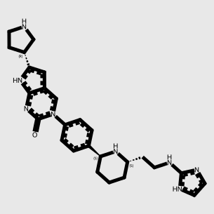 O=c1nc2[nH]c([C@@H]3CCNC3)cc2cn1-c1ccc([C@@H]2CCC[C@@H](CCNc3ncc[nH]3)N2)cc1